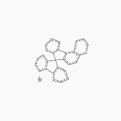 Brc1cccc2c1-c1ccccc1C21c2ccccc2-c2c1ccc1ccccc21